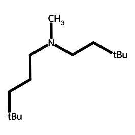 CN(CCCC(C)(C)C)CCC(C)(C)C